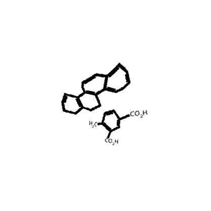 C1=CC2=C(CC1)CCc1c2ccc2ccccc12.Cc1ccc(C(=O)O)cc1C(=O)O